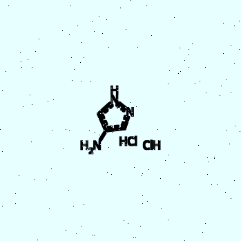 Cl.Cl.Nc1cn[nH]c1